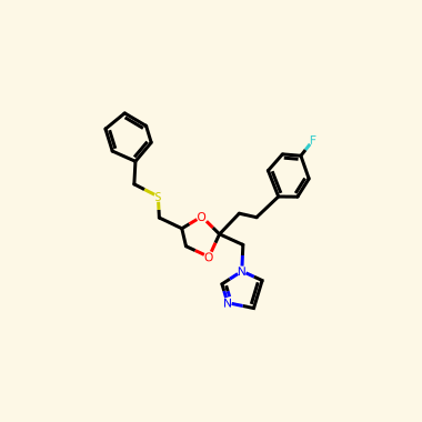 Fc1ccc(CCC2(Cn3ccnc3)OCC(CSCc3ccccc3)O2)cc1